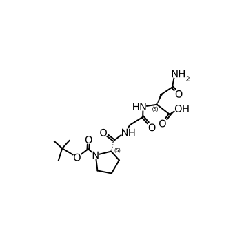 CC(C)(C)OC(=O)N1CCC[C@H]1C(=O)NCC(=O)N[C@@H](CC(N)=O)C(=O)O